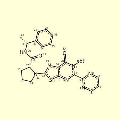 CCn1c(-c2ncccn2)nc2sc(N3CCC[C@@H]3C(=O)N[C@H](C)c3ccccc3)nc2c1=O